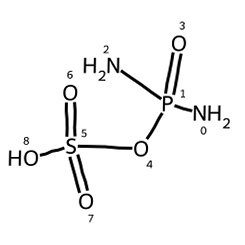 NP(N)(=O)OS(=O)(=O)O